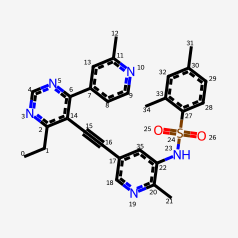 CCc1ncnc(-c2ccnc(C)c2)c1C#Cc1cnc(C)c(NS(=O)(=O)c2ccc(C)cc2C)c1